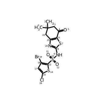 CC1(C)CC(=O)c2sc(NS(=O)(=O)c3sc(Cl)cc3Br)nc2C1